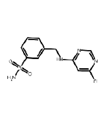 NS(=O)(=O)c1cccc(CNc2cc(Cl)ncn2)c1